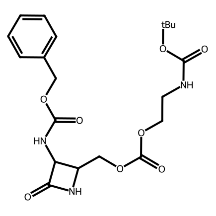 CC(C)(C)OC(=O)NCCOC(=O)OCC1NC(=O)C1NC(=O)OCc1ccccc1